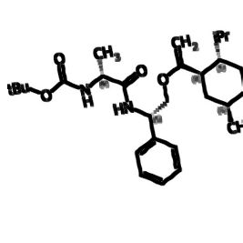 C=C(OC[C@@H](NC(=O)[C@@H](C)NC(=O)OC(C)(C)C)c1ccccc1)[C@@H]1C[C@H](C)CC[C@H]1C(C)C